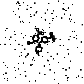 CN1CCN(Cc2ccc([N+](=O)[O-])cc2)CC1.O=Cc1ccc([N+](=O)[O-])cc1